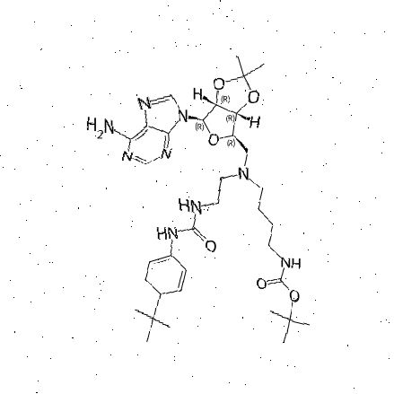 CC(C)(C)OC(=O)NCCCCN(CCNC(=O)NC1=CCC(C(C)(C)C)C=C1)C[C@H]1O[C@@H](n2cnc3c(N)ncnc32)[C@@H]2OC(C)(C)O[C@@H]21